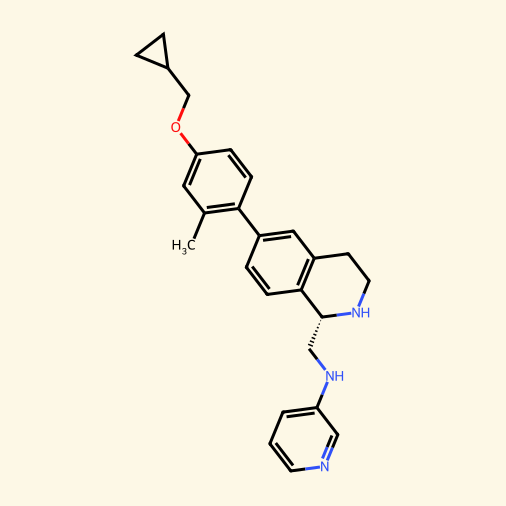 Cc1cc(OCC2CC2)ccc1-c1ccc2c(c1)CCN[C@@H]2CNc1cccnc1